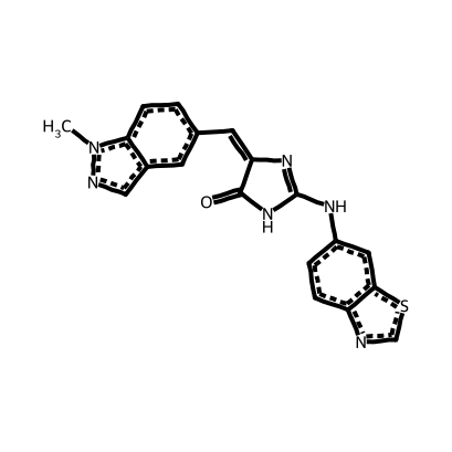 Cn1ncc2cc(C=C3N=C(Nc4ccc5ncsc5c4)NC3=O)ccc21